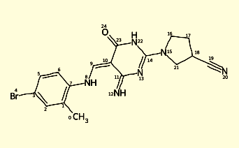 Cc1cc(Br)ccc1N/C=C1\C(=N)N=C(N2CCC(C#N)C2)NC1=O